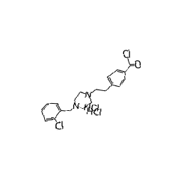 Cl.Cl.O=C(Cl)c1ccc(CCN2CCN(Cc3ccccc3Cl)CC2)cc1